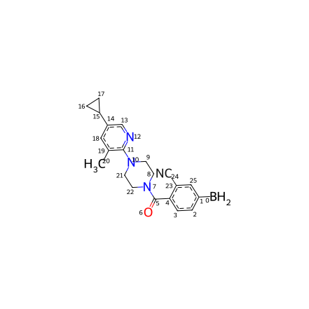 Bc1ccc(C(=O)N2CCN(c3ncc(C4CC4)cc3C)CC2)c(C#N)c1